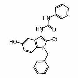 CCc1c(NC(=O)Nc2ccccc2)c2cc(O)ccc2n1Cc1ccccc1